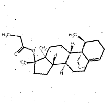 CCC(=O)O[C@@]1(C)CC[C@H]2[C@@H]3CCC4=CCC[C@H](C)[C@]4(CO)[C@H]3CC[C@@]21C